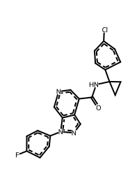 O=C(NC1(c2ccc(Cl)cc2)CC1)c1cncc2c1cnn2-c1ccc(F)cc1